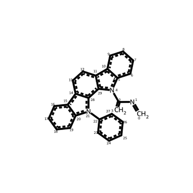 C=NC(=C)n1c2ccccc2c2ccc3c4ccccc4n(-c4ccccc4)c3c21